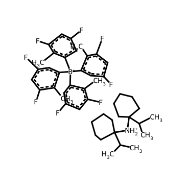 CC(C)C1([NH2+]C2(C(C)C)CCCCC2)CCCCC1.Cc1c(F)cc(F)cc1[B-](c1cc(F)cc(F)c1C)(c1cc(F)cc(F)c1C)c1cc(F)cc(F)c1C